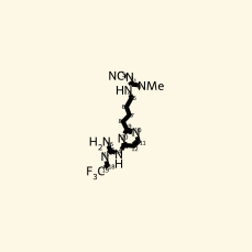 CN/C(=N/C#N)NCCCCc1nccc(N/C(N)=N\CC(F)(F)F)n1